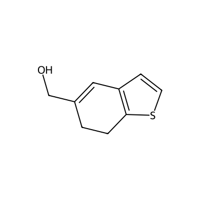 OCC1=Cc2ccsc2CC1